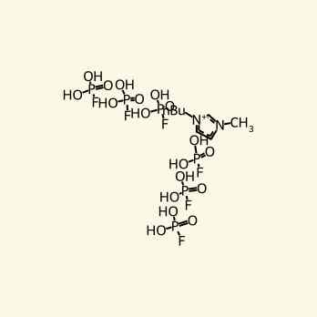 CCCC[n+]1ccn(C)c1.O=P(O)(O)F.O=P(O)(O)F.O=P(O)(O)F.O=P(O)(O)F.O=P(O)(O)F.O=P(O)(O)F